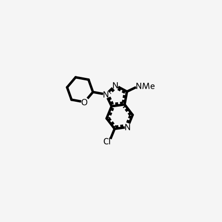 CNc1nn(C2CCCCO2)c2cc(Cl)ncc12